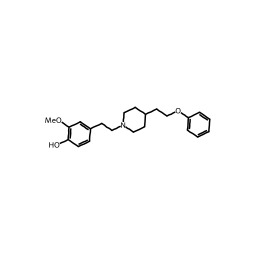 COc1cc(CCN2CCC(CCOc3ccccc3)CC2)ccc1O